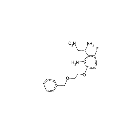 BC(C[N+](=O)[O-])c1c(F)ccc(OCCOCc2ccccc2)c1N